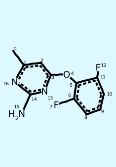 Cc1cc(Oc2c(F)cccc2F)nc(N)n1